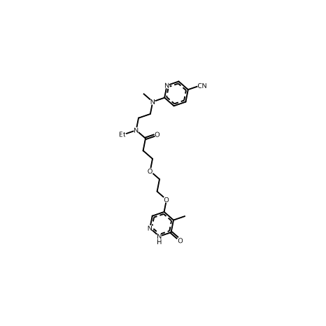 CCN(CCN(C)c1ccc(C#N)cn1)C(=O)CCOCCOc1cn[nH]c(=O)c1C